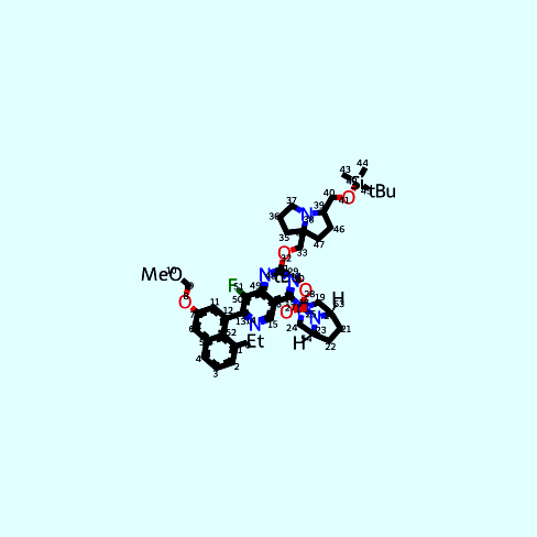 CCc1cccc2cc(OCOC)cc(-c3ncc4c(N5C[C@H]6CC[C@@H](C5)N6C(=O)OC(C)(C)C)nc(OCC56CCCN5C(CO[Si](C)(C)C(C)(C)C)CC6)nc4c3F)c12